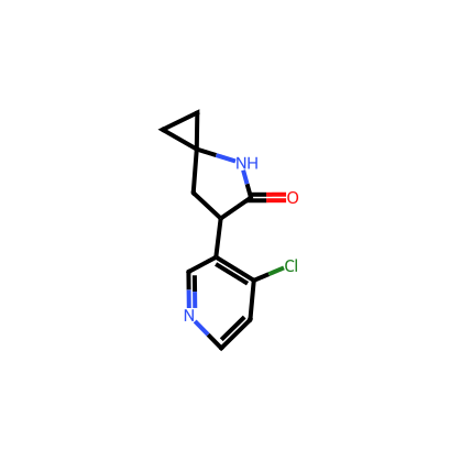 O=C1NC2(CC2)CC1c1cnccc1Cl